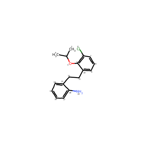 CC(C)Oc1c(Cl)cccc1CCc1ccccc1N